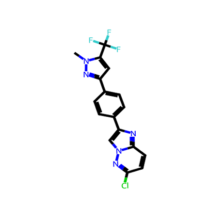 Cn1nc(-c2ccc(-c3cn4nc(Cl)ccc4n3)cc2)cc1C(F)(F)F